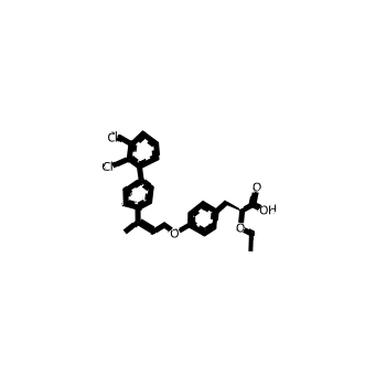 CCO[C@@H](Cc1ccc(OCC=C(C)c2ccc(-c3cccc(Cl)c3Cl)cc2)cc1)C(=O)O